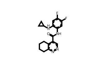 O=C(Nc1cc(F)c(F)cc1NC1CC1)c1cnnc2c1CCCC2